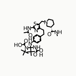 CNC(=O)[C@H]1CCCN(Cc2sc(NC(C)=O)nc2CCc2ccc(NC(NC(=O)O)(N(C(=O)O)C(C)(C)C)C(C)(C)C)cc2)C1